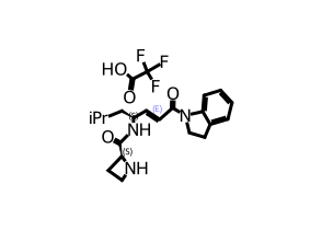 CC(C)C[C@@H](/C=C/C(=O)N1CCc2ccccc21)NC(=O)[C@@H]1CCN1.O=C(O)C(F)(F)F